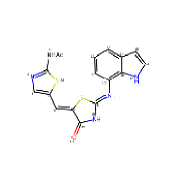 CC(=O)Nc1ncc(C=C2SC(=Nc3cccc4cc[nH]c34)NC2=O)s1